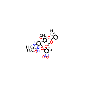 COc1ccc([N+](=O)[O-])cc1OCc1c(-c2ccc(OC(=O)c3ccccc3C)cc2OC)ccc2c1NC(=O)C(C)(C)N2